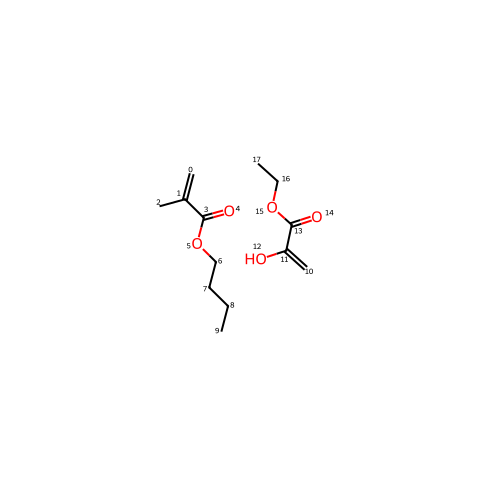 C=C(C)C(=O)OCCCC.C=C(O)C(=O)OCC